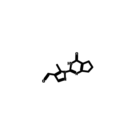 Cc1c(C=O)cnn1-c1nc2c(c(=O)[nH]1)CCC2